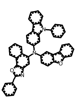 c1ccc(-c2nc3cc(N(c4ccc5oc6ccccc6c5c4)c4ccc5c6ccccc6n(-c6ccccc6)c5c4)c4ccccc4c3o2)cc1